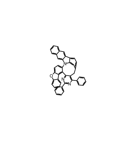 c1ccc(-c2nc(-c3ccccc3)c3c(n2)-c2c(ccc4oc5ccccc5c24)-n2c4cc(ccc4c4cc5ccccc5cc42)C3)cc1